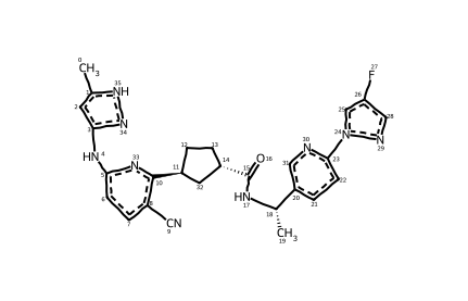 Cc1cc(Nc2ccc(C#N)c([C@H]3CC[C@H](C(=O)N[C@@H](C)c4ccc(-n5cc(F)cn5)nc4)C3)n2)n[nH]1